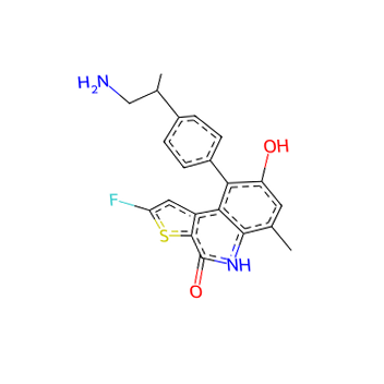 Cc1cc(O)c(-c2ccc(C(C)CN)cc2)c2c1[nH]c(=O)c1sc(F)cc12